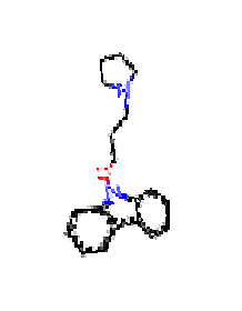 c1ccc2c(c1)c1ccccc1n2OCCCN1CCCC1